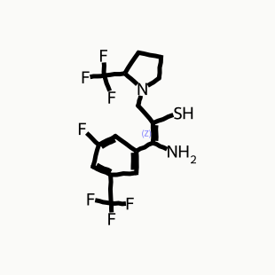 N/C(=C(\S)CN1CCCC1C(F)(F)F)c1cc(F)cc(C(F)(F)F)c1